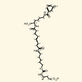 C[C@H](CCC(=O)O)NC(=O)OCCCCCNC(=O)CCCCCCC(=O)NC(CCCCNC(=O)c1cncc([125I])c1)C(=O)O